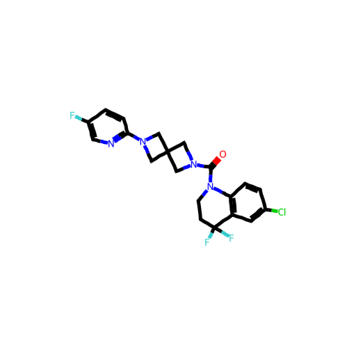 O=C(N1CC2(C1)CN(c1ccc(F)cn1)C2)N1CCC(F)(F)c2cc(Cl)ccc21